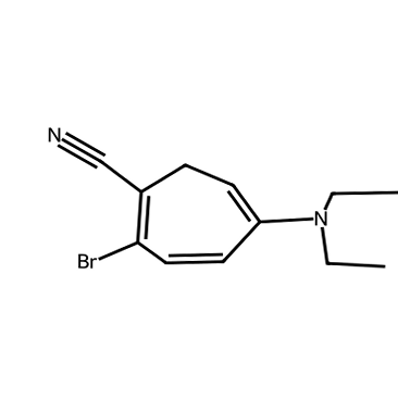 CCN(CC)C1=CCC(C#N)=C(Br)C=C1